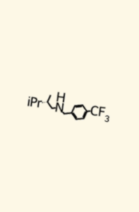 CC(C)[C@H](C)CNCc1ccc(C(F)(F)F)cc1